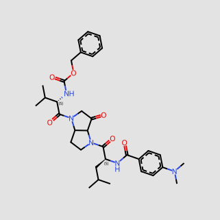 CC(C)C[C@H](NC(=O)c1ccc(N(C)C)cc1)C(=O)N1CCC2C1C(=O)CN2C(=O)[C@@H](NC(=O)OCc1ccccc1)C(C)C